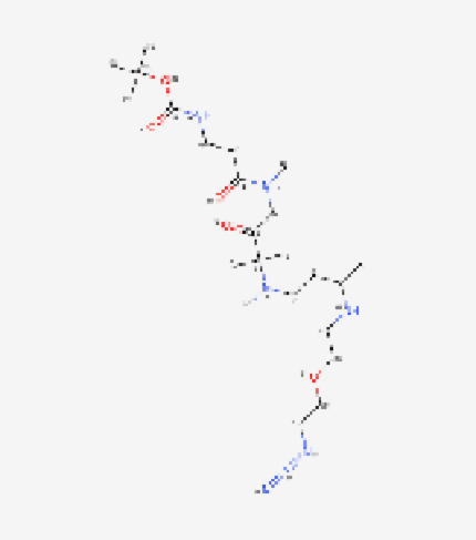 CC(CCN(C)C(C)(C)C(=O)CN(C)C(=O)CCNC(=O)OC(C)(C)C)NCCOCCN=[N+]=[N-]